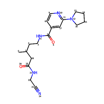 CC(CCNC(=O)c1ccnc(N2CCCC2)c1)CC(=O)NCC#N